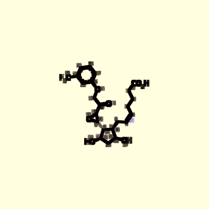 O=C(O)CCC/C=C\C[C@@H]1[C@@H]([C@H]2OC2C(=O)COc2cccc(C(F)(F)F)c2)[C@H](O)C[C@@H]1O